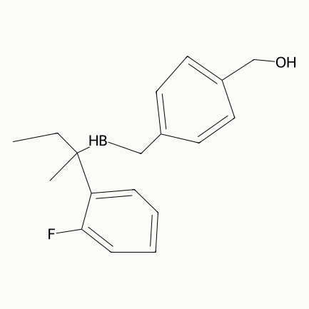 CCC(C)(BCc1ccc(CO)cc1)c1ccccc1F